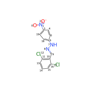 O=[N+]([O-])c1ccc(NN=Cc2c(Cl)cccc2Cl)cc1